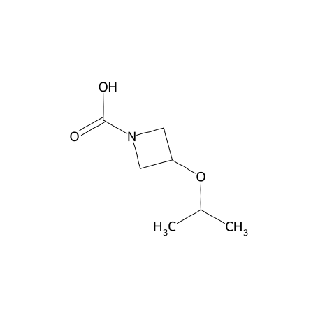 CC(C)OC1CN(C(=O)O)C1